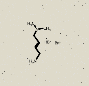 Br.Br.CN(C)C/C=C/CN